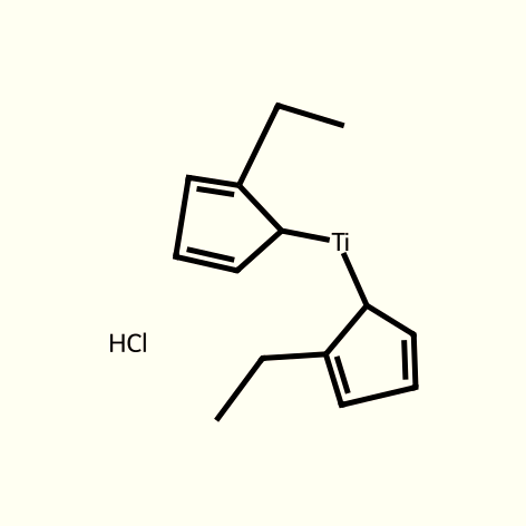 CCC1=CC=C[CH]1[Ti][CH]1C=CC=C1CC.Cl